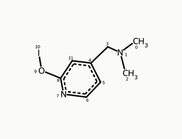 CN(C)Cc1ccnc(OI)c1